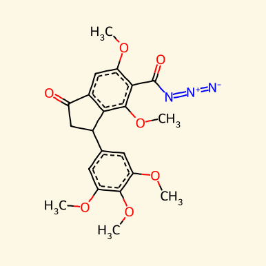 COc1cc(C2CC(=O)c3cc(OC)c(C(=O)N=[N+]=[N-])c(OC)c32)cc(OC)c1OC